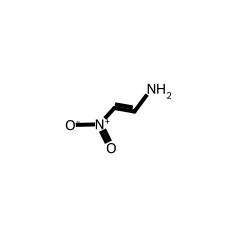 N/C=C/[N+](=O)[O-]